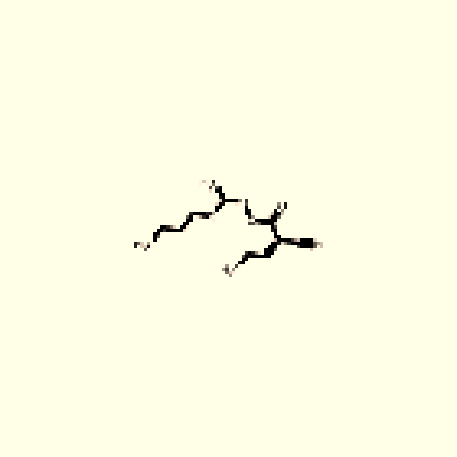 CCC=C(C#N)C(=O)OOC(C)OCCCC